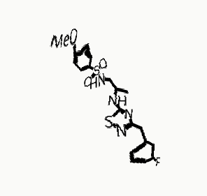 COc1ccc(S(=O)(=O)NCC(C)Nc2nc(Cc3cccc(F)c3)ns2)cc1